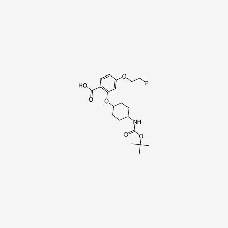 CC(C)(C)OC(=O)NC1CCC(Oc2cc(OCCF)ccc2C(=O)O)CC1